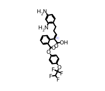 Nc1ccc(CC/C=C(/C(=O)O)c2ccccc2C(=O)Oc2ccc(OC(F)(F)C(F)F)cc2)c(N)c1